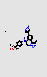 Cc1nnn2c1-c1ccc(-c3cnn(C)c3)cc1C(Nc1ccc(C(O)(C(F)(F)F)C(F)(F)F)cc1)CC2